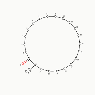 O=C1CCCCCCCCCCCCCCCCCCCCC1[N+](=O)[O-]